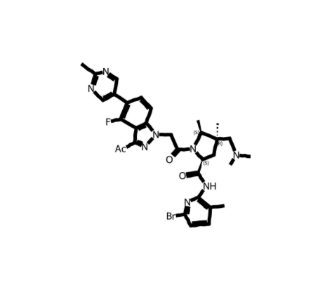 CC(=O)c1nn(CC(=O)N2[C@@H](C)[C@@](C)(CN(C)C)C[C@H]2C(=O)Nc2nc(Br)ccc2C)c2ccc(-c3cnc(C)nc3)c(F)c12